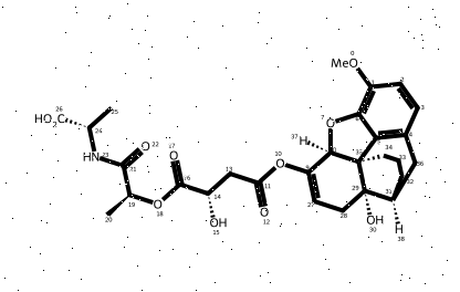 COc1ccc2c3c1O[C@@H]1C(OC(=O)C[C@H](O)C(=O)O[C@@H](C)C(=O)N[C@@H](C)C(=O)O)=CC[C@]4(O)[C@@H](CCC[C@@]314)C2